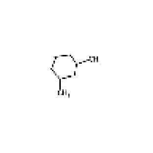 CC1[CH]C(C)C[CH]C1